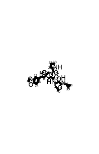 CCC[C@H](NC(=O)C1C[C@]2(CC(c3ccc4c(c3)OCO4)=NO2)CN1C(=O)c1ccc[nH]1)C(=O)C(=O)NC1CC1